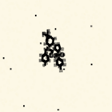 Cc1ccc(CN(C(=O)[C@@H]2CCC[C@H]2S(=O)(=O)c2ccc(C)cc2)C2CCC3C(C2)C3(F)F)cc1